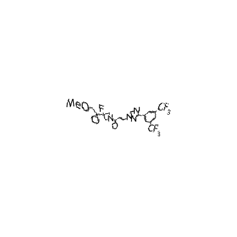 COCC(=O)C1(F)CN(C(=O)C=Cn2cnc(-c3cc(C(F)(F)F)cc(C(F)(F)F)c3)n2)C1